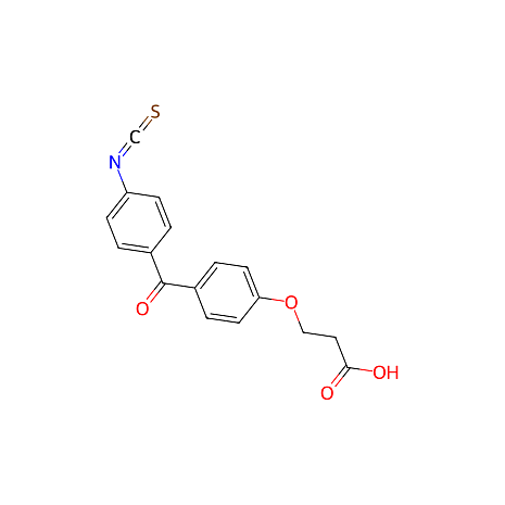 O=C(O)CCOc1ccc(C(=O)c2ccc(N=C=S)cc2)cc1